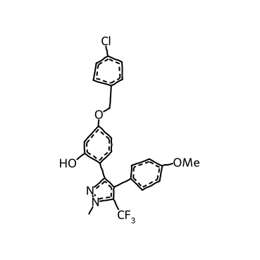 COc1ccc(-c2c(-c3ccc(OCc4ccc(Cl)cc4)cc3O)nn(C)c2C(F)(F)F)cc1